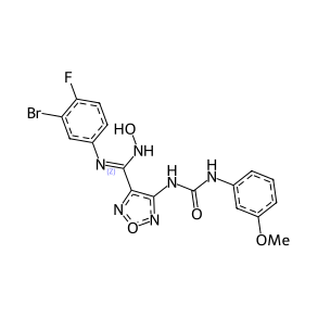 COc1cccc(NC(=O)Nc2nonc2/C(=N/c2ccc(F)c(Br)c2)NO)c1